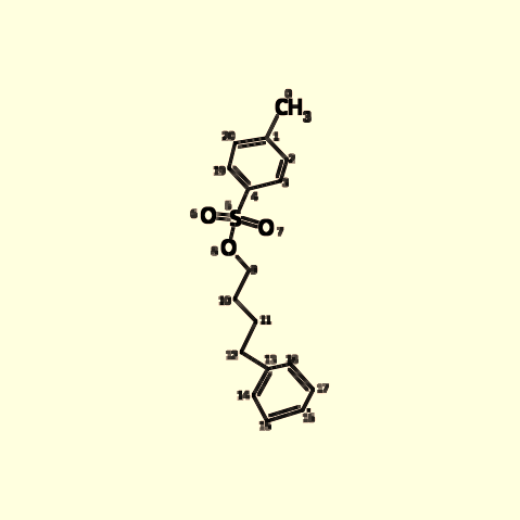 Cc1ccc(S(=O)(=O)OCCCCc2cc[c]cc2)cc1